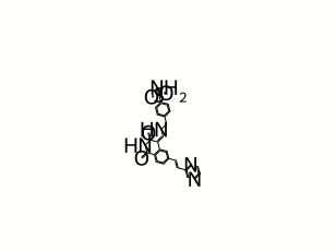 NS(=O)(=O)c1ccc(CNC=C2C(=O)NC(=O)c3ccc(C=Cc4cnccn4)cc32)cc1